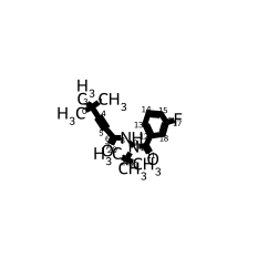 CC(C)(C)C#CC(=O)NN(C(=O)c1cccc(F)c1)C(C)(C)C